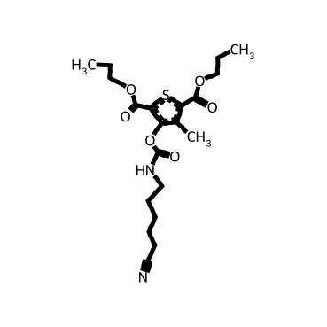 CCCOC(=O)c1sc(C(=O)OCCC)c(OC(=O)NCCCCCC#N)c1C